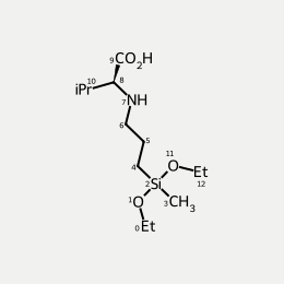 CCO[Si](C)(CCCN[C@H](C(=O)O)C(C)C)OCC